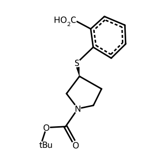 CC(C)(C)OC(=O)N1CC[C@H](Sc2ccccc2C(=O)O)C1